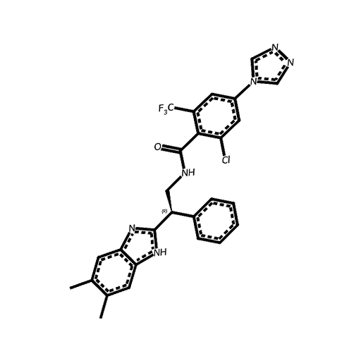 Cc1cc2nc([C@@H](CNC(=O)c3c(Cl)cc(-n4cnnc4)cc3C(F)(F)F)c3ccccc3)[nH]c2cc1C